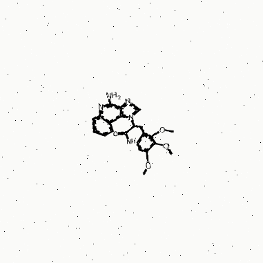 COc1ccc(CC(C(N)=O)n2cnc3c(N)nc4ccccc4c32)c(OC)c1OC